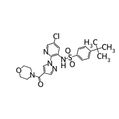 CC(C)(C)c1ccc(S(=O)(=O)Nc2cc(Cl)cnc2-n2cc(C(=O)N3CCOCC3)cn2)cc1